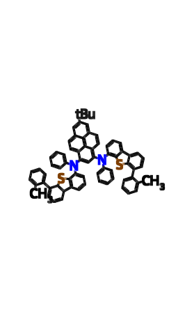 Cc1ccccc1C1=CC=CC2c3cccc(N(c4ccccc4)c4cc(N(c5ccccc5)c5cccc6c5sc5c(-c7ccccc7C)cccc56)c5ccc6cc(C(C)(C)C)cc7ccc4c5c76)c3SC12